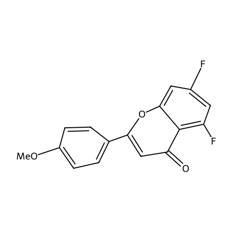 COc1ccc(-c2cc(=O)c3c(F)cc(F)cc3o2)cc1